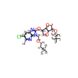 CC(C)(C)[Si](C)(C)O[C@@H]1COC2C1OC[C@H]2Oc1nc2cc(Cl)c(I)nc2n1COCC[Si](C)(C)C